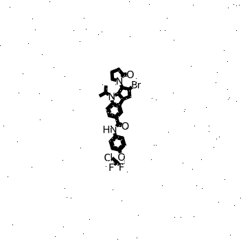 CC(C)N1c2ccc(C(=O)Nc3ccc(OC(F)(F)Cl)cc3)cc2C2CC(Br)C(N3CCCC3=O)C21